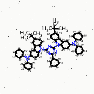 CC(C)(C)c1ccc2c(c1)c1cc(N(c3ccccc3)c3ccccc3)ccc1n2-c1nc(-c2ccccc2)nc(-n2c3ccc(N(c4ccccc4)c4ccccc4)cc3c3cc(C(C)(C)C)ccc32)n1